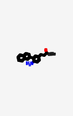 COC(=O)CCc1ccc(N)c(-c2ccc3ccccc3c2)c1